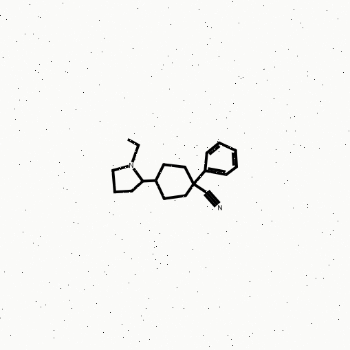 CCN1CCCC1C1CCC(C#N)(c2ccccc2)CC1